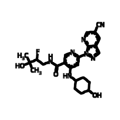 CC(C)(O)C(F)CNC(=O)c1cnc(-n2ncc3cc(C#N)cnc32)cc1NC1CCC(O)CC1